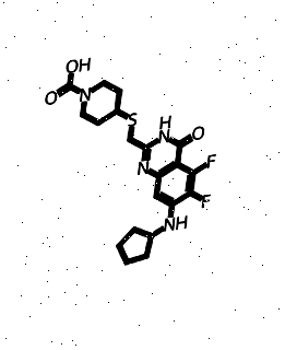 O=C(O)N1CCC(SCc2nc3cc(NC4CCCC4)c(F)c(F)c3c(=O)[nH]2)CC1